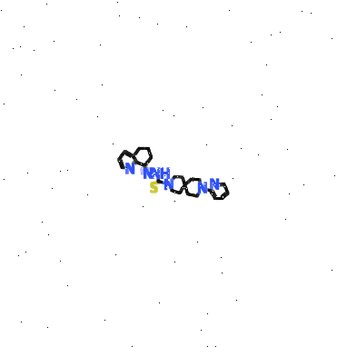 S=C(N/N=C1\CCCc2cccnc21)N1CCC2(CC1)CCN(c1ccccn1)CC2